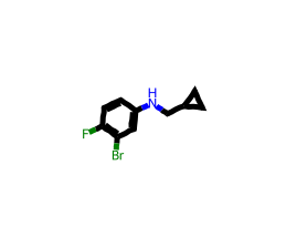 Fc1ccc(NCC2CC2)cc1Br